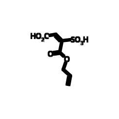 C=CCOC(=O)/C(=C\C(=O)O)S(=O)(=O)O